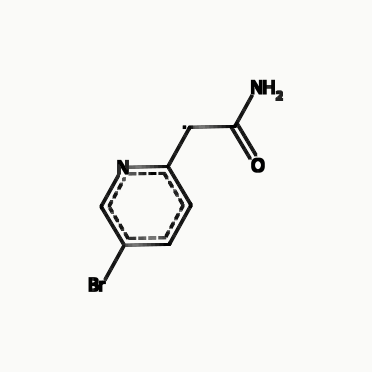 NC(=O)[CH]c1ccc(Br)cn1